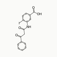 O=C(CC(=O)c1ccccc1)Nc1cc(C(=O)O)ccc1I